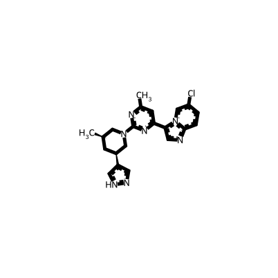 Cc1cc(-c2cnc3ccc(Cl)cn23)nc(N2C[C@H](C)C[C@H](c3cn[nH]c3)C2)n1